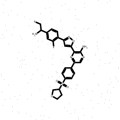 Nc1ncc(-c2ccc(S(=O)(=O)C3CCOC3)cc2)nc1-c1cc(-c2ccc(C(N)CF)cc2F)no1